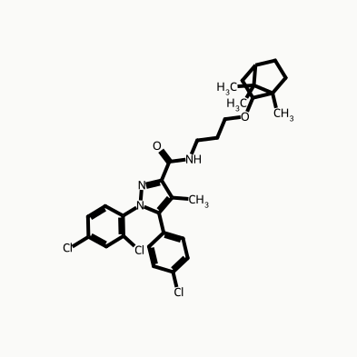 Cc1c(C(=O)NCCCOC2CC3CCC2(C)C3(C)C)nn(-c2ccc(Cl)cc2Cl)c1-c1ccc(Cl)cc1